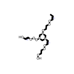 C/C=C\OOCCON1CN(/C=C\OOCCOO)CN(OOO/C=C/O)C1